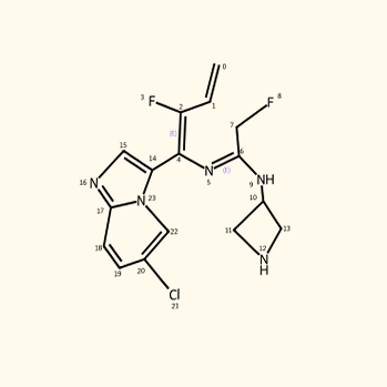 C=C/C(F)=C(\N=C(/CF)NC1CNC1)c1cnc2ccc(Cl)cn12